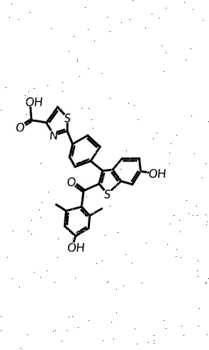 Cc1cc(O)cc(C)c1C(=O)c1sc2cc(O)ccc2c1-c1ccc(-c2nc(C(=O)O)cs2)cc1